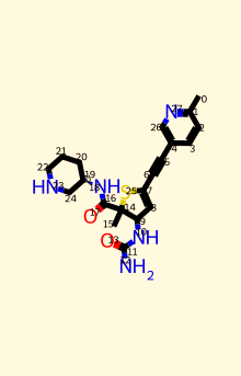 Cc1ccc(C#CC2=CC(NC(N)=O)C(C)(C(=O)N[C@H]3CCCNC3)S2)cn1